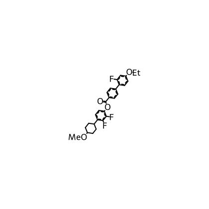 CCOc1ccc(-c2ccc(C(=O)Oc3ccc(C4CCC(OC)CC4)c(F)c3F)cc2)c(F)c1